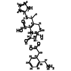 CC(Sc1nnn[nH]1)C1=C(C(=O)O)N2C(=O)[C@@H](OC(=O)Cc3ccccc3CN)[C@@H]2SC1